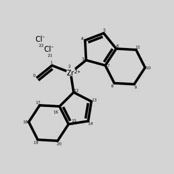 C=[CH][Zr+2]([CH]1C=CC2=C1CCCC2)[CH]1C=CC2=C1CCCC2.[Cl-].[Cl-]